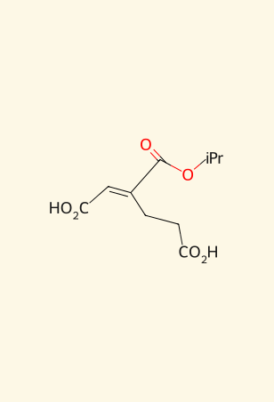 CC(C)OC(=O)/C(=C/C(=O)O)CCC(=O)O